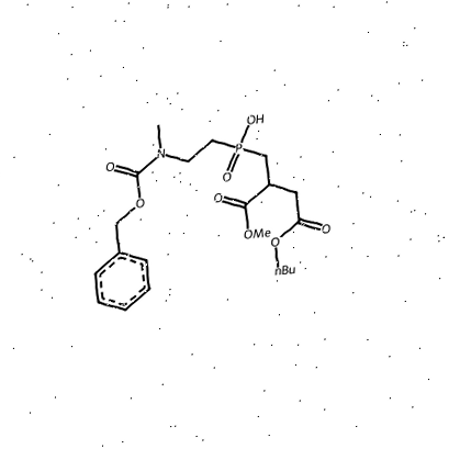 CCCCOC(=O)CC(CP(=O)(O)CCN(C)C(=O)OCc1ccccc1)C(=O)OC